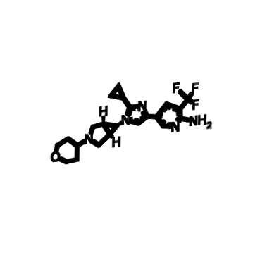 Nc1ncc(-c2cn([C@H]3[C@@H]4CN(C5CCOCC5)C[C@@H]43)c(C3CC3)n2)cc1C(F)(F)F